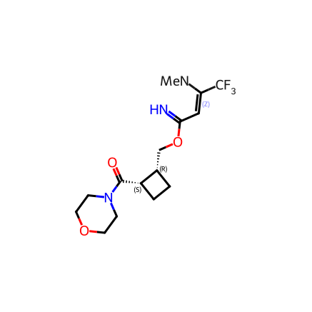 CN/C(=C\C(=N)OC[C@@H]1CC[C@@H]1C(=O)N1CCOCC1)C(F)(F)F